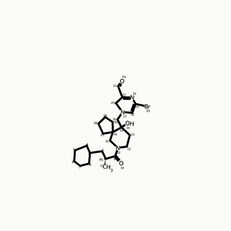 C[C@H](CC1CCCCC1)C(=O)N1CCC(O)(CN2C=C(Br)N=C(C=O)C2)C2(CCCC2)C1